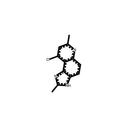 Cc1cc(Cl)c2c(ccc3[nH]c(C)nc32)n1